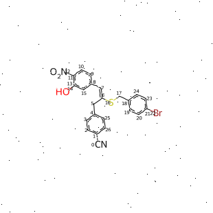 N#Cc1ccc(C/C(=C\c2ccc([N+](=O)[O-])c(O)c2)SCc2ccc(Br)cc2)cc1